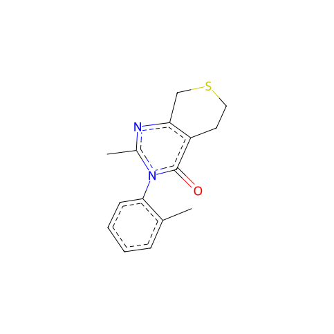 Cc1ccccc1-n1c(C)nc2c(c1=O)CCSC2